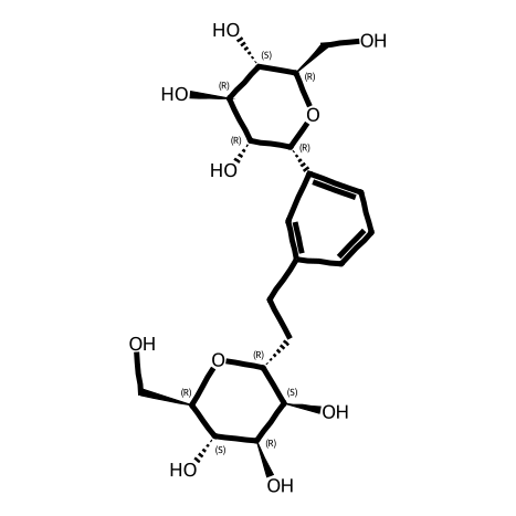 OC[C@H]1O[C@H](CCc2cccc([C@H]3O[C@H](CO)[C@@H](O)[C@H](O)[C@H]3O)c2)[C@@H](O)[C@@H](O)[C@@H]1O